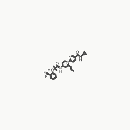 CCCC1CC(NC(=O)C(C)(C)Oc2ccccc2C(F)(F)F)CCN1c1ccc(C(=O)NC2CC2)cn1